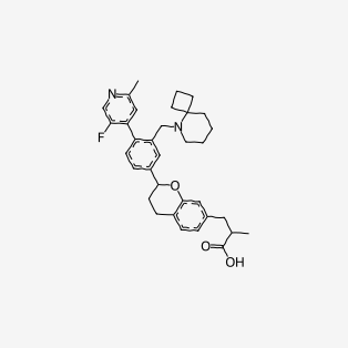 Cc1cc(-c2ccc(C3CCc4ccc(CC(C)C(=O)O)cc4O3)cc2CN2CCCCC23CCC3)c(F)cn1